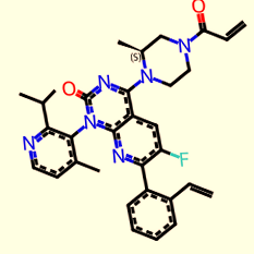 C=CC(=O)N1CCN(c2nc(=O)n(-c3c(C)ccnc3C(C)C)c3nc(-c4ccccc4C=C)c(F)cc23)[C@@H](C)C1